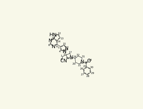 N#CCC1(n2cc(-c3ncnc4[nH]ccc34)cn2)CN(C2CCN(C(=O)c3ccccc3)CC2)C1